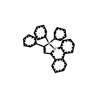 C1=C(c2ccccc2)[B-](c2ccccc2)(c2ccccc2)[n+]2c1c1ccccc1c1ccccc12